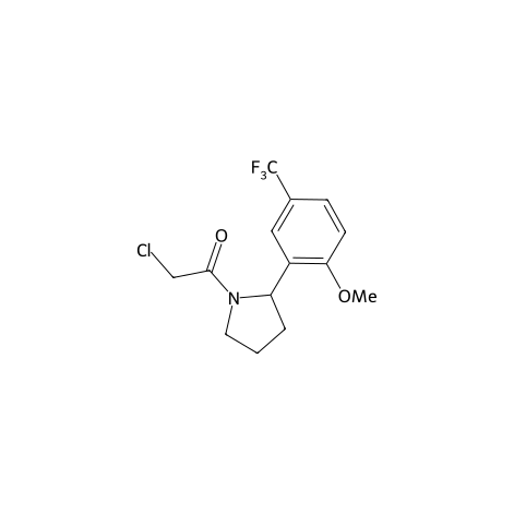 COc1ccc(C(F)(F)F)cc1C1CCCN1C(=O)CCl